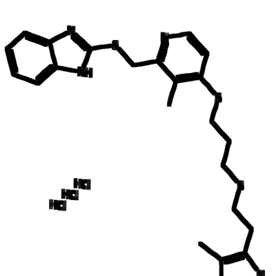 Cc1scnc1CCSCCCSc1ccnc(CSc2nc3ccccc3[nH]2)c1C.Cl.Cl.Cl